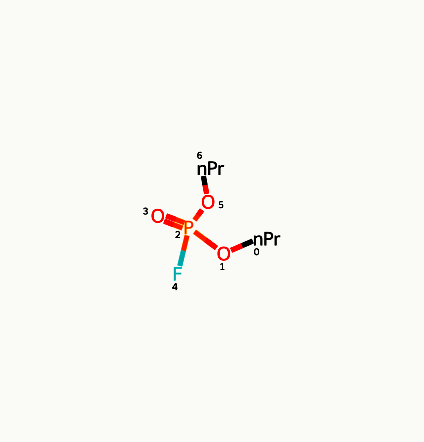 CCCOP(=O)(F)OCCC